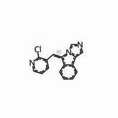 Clc1ncccc1/C=c1\c2ccccc2c2cncn12